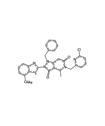 COc1cccc2nc(-n3c(=O)c4c(C)n(Cc5cccc(Cl)n5)c(=O)cc4n3Cc3ccccc3)sc12